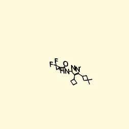 Cn1nc(NC(=O)[C@H]2CC2(F)F)c(C2CCC2)c1C1CC(C)(C)C1